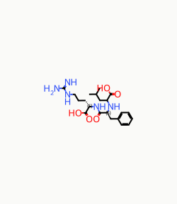 CC(C)CC(N[C@@H](Cc1ccccc1)C(=O)N[C@@H](CCCNC(=N)N)C(=O)O)C(=O)O